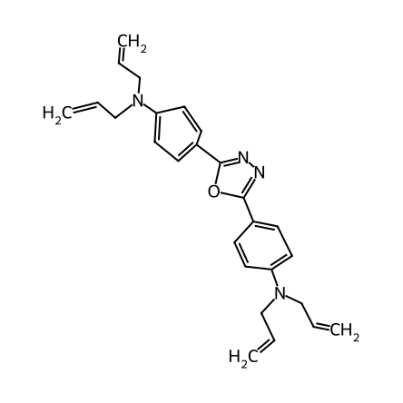 C=CCN(CC=C)c1ccc(-c2nnc(-c3ccc(N(CC=C)CC=C)cc3)o2)cc1